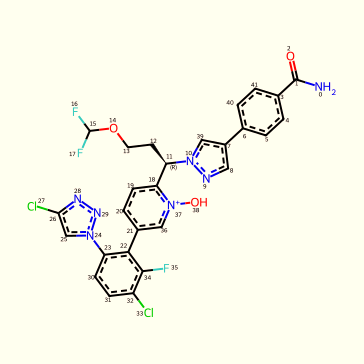 NC(=O)c1ccc(-c2cnn([C@H](CCOC(F)F)c3ccc(-c4c(-n5cc(Cl)nn5)ccc(Cl)c4F)c[n+]3O)c2)cc1